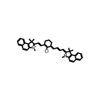 CN1\C(=C/C=C/C=C2\CCCC(/C=C/C3=[N+](C)c4ccc5ccccc5c4C3(C)C)=C2Cl)C(C)(C)c2c1ccc1ccccc21